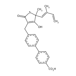 C=C/C(C)=C/C1(C)SC(=O)C(Cc2ccc(-c3ccc(C(=O)O)cc3)cc2)=C1O